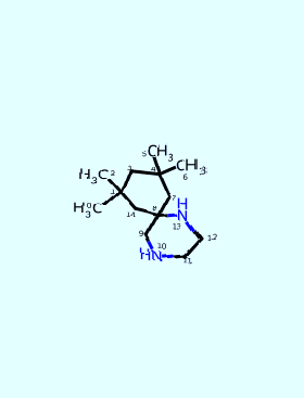 CC1(C)CC(C)(C)CC2(CNCCN2)C1